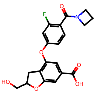 O=C(O)c1cc(Oc2ccc(C(=O)N3CCC3)c(F)c2)c2c(c1)OC(CO)C2